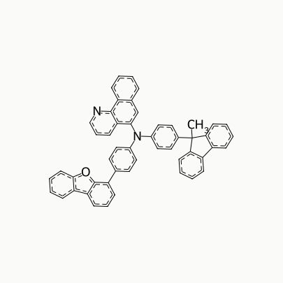 CC1(c2ccc(N(c3ccc(-c4cccc5c4oc4ccccc45)cc3)c3cc4ccccc4c4ncccc34)cc2)c2ccccc2-c2ccccc21